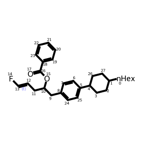 CCCCCCC1CCC(c2ccc(CC(C/C=C/F)OC(=O)c3ccccc3)cc2)CC1